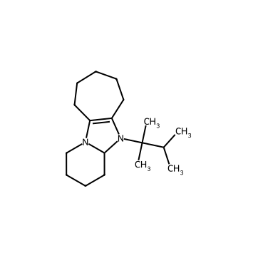 CC(C)C(C)(C)N1C2=C(CCCCC2)N2CCCCC21